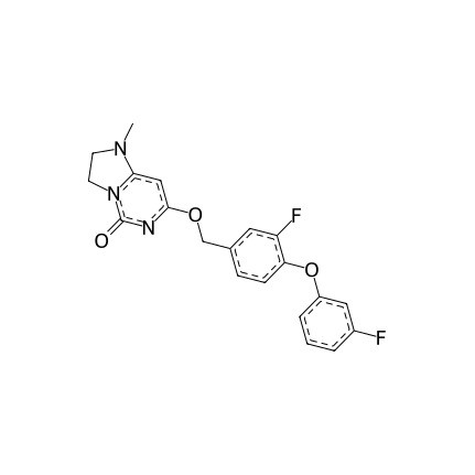 CN1CCn2c1cc(OCc1ccc(Oc3cccc(F)c3)c(F)c1)nc2=O